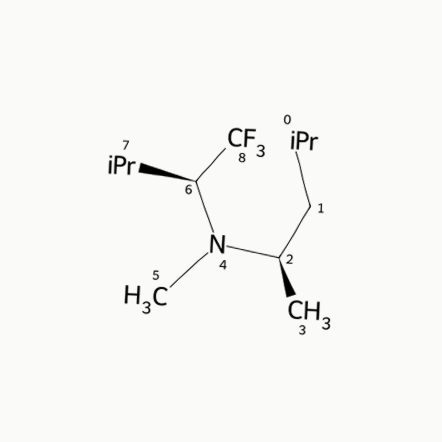 CC(C)C[C@@H](C)N(C)[C@@H](C(C)C)C(F)(F)F